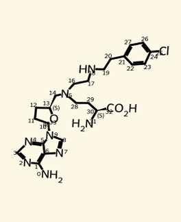 Nc1ncnc2c1ncn2[C@H]1CC[C@@H](CN(CCNCCc2ccc(Cl)cc2)CC[C@H](N)C(=O)O)O1